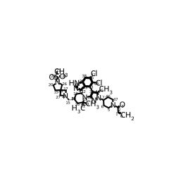 C=CC(=O)N1CCC(n2nc(N3CC[C@@H](CN4CC5(CCN(S(C)(=O)=O)C5)C4)CC3(C)C)c(-c3c(Cl)c(Cl)cc4[nH]ncc34)c2C)CC1